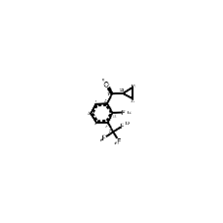 O=C(c1cccc(C(F)(F)F)c1F)C1CC1